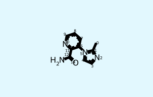 Cc1nccn1-c1cccnc1C(N)=O